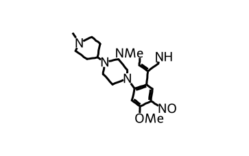 CN/C=C(\C=N)c1cc(N=O)c(OC)cc1N1CCN(C2CCN(C)CC2)CC1